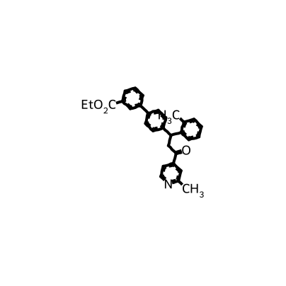 CCOC(=O)c1cccc(-c2ccc(C(CC(=O)c3ccnc(C)c3)c3ccccc3C)cc2)c1